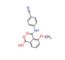 COc1cccc(C(=O)O)c1C(=O)Nc1ccc(C#N)cc1